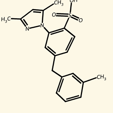 Cc1cccc(Cc2ccc(S(=O)(=O)O)c(-n3nc(C)cc3C)c2)c1